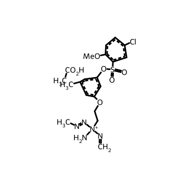 C=N[N+](N)(CCOc1cc(C)cc(OS(=O)(=O)c2cc(Cl)ccc2OC)c1)N=NC.CC(=O)O